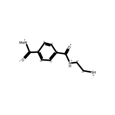 CNC(=O)c1ccc(C(=O)NCCS)cc1